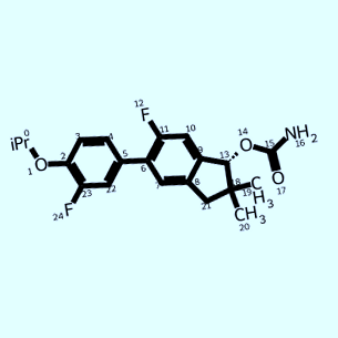 CC(C)Oc1ccc(-c2cc3c(cc2F)[C@H](OC(N)=O)C(C)(C)C3)cc1F